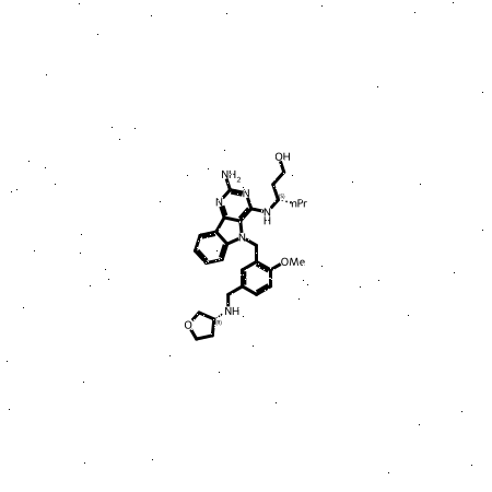 CCC[C@@H](CCO)Nc1nc(N)nc2c3ccccc3n(Cc3cc(CN[C@@H]4CCOC4)ccc3OC)c12